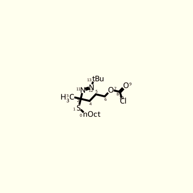 CCCCCCCCSC(C)(CCCOC(=O)Cl)N=NC(C)(C)C